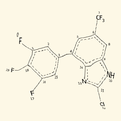 Fc1cc(-c2cc(C(F)(F)F)cc3[nH]c(Cl)nc23)cc(F)c1F